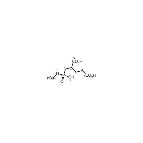 CCCCOP(=O)(O)CC(CCC(=O)O)C(=O)O